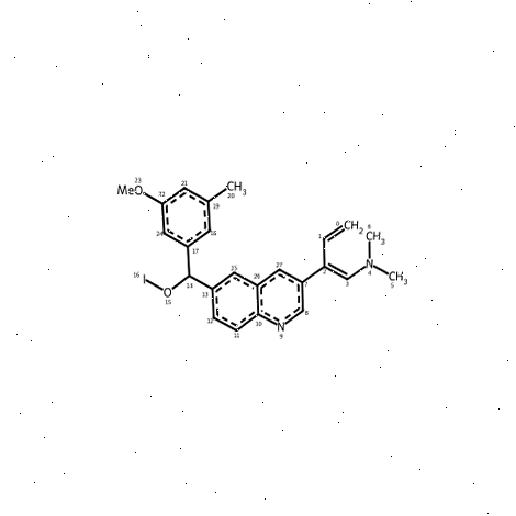 C=C/C(=C\N(C)C)c1cnc2ccc(C(OI)c3cc(C)cc(OC)c3)cc2c1